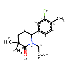 Cc1ccc(C2CCC(C)(C)C(=O)N2CC(=O)O)cc1F